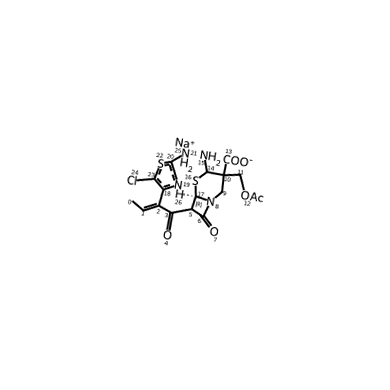 CC=C(C(=O)C1C(=O)N2CC(COC(C)=O)(C(=O)[O-])C(N)S[C@H]12)c1nc(N)sc1Cl.[Na+]